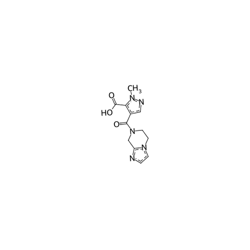 Cn1ncc(C(=O)N2CCn3ccnc3C2)c1C(=O)O